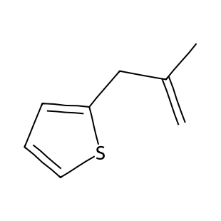 C=C(C)Cc1cccs1